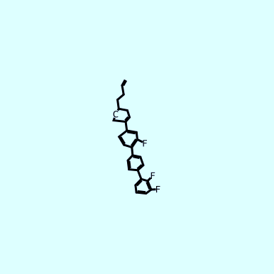 C=CCCC1CC=C(c2ccc(-c3ccc(-c4cccc(F)c4F)cc3)c(F)c2)CC1